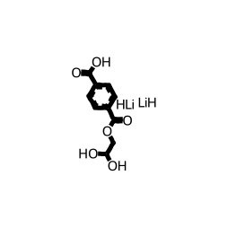 O=C(O)c1ccc(C(=O)OCC(O)O)cc1.[LiH].[LiH]